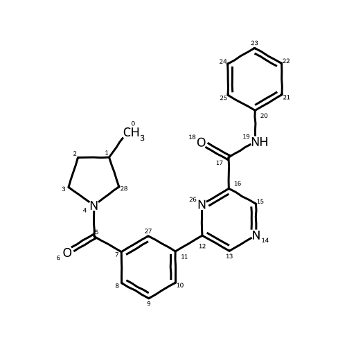 CC1CCN(C(=O)c2cccc(-c3cncc(C(=O)Nc4ccccc4)n3)c2)C1